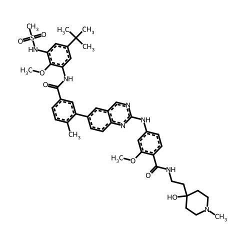 COc1cc(Nc2ncc3cc(-c4cc(C(=O)Nc5cc(C(C)(C)C)cc(NS(C)(=O)=O)c5OC)ccc4C)ccc3n2)ccc1C(=O)NCCC1(O)CCN(C)CC1